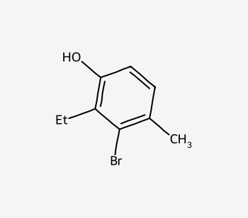 CCc1c(O)ccc(C)c1Br